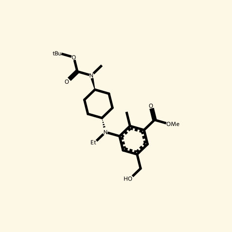 CCN(c1cc(CO)cc(C(=O)OC)c1C)[C@H]1CC[C@H](N(C)C(=O)OC(C)(C)C)CC1